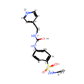 CC(C)NS(=O)(=O)c1ccc(NC(=O)NCc2ccncc2)cc1